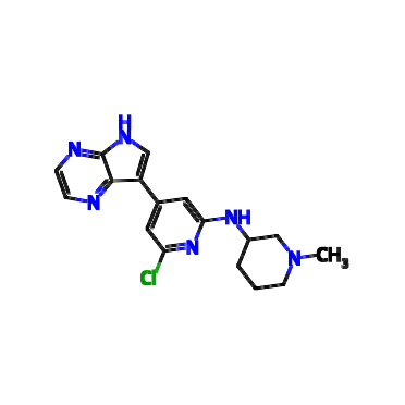 CN1CCCC(Nc2cc(-c3c[nH]c4nccnc34)cc(Cl)n2)C1